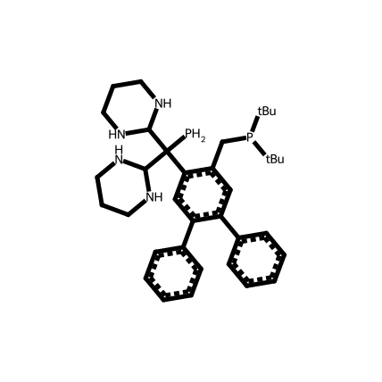 CC(C)(C)P(Cc1cc(-c2ccccc2)c(-c2ccccc2)cc1C(P)(C1NCCCN1)C1NCCCN1)C(C)(C)C